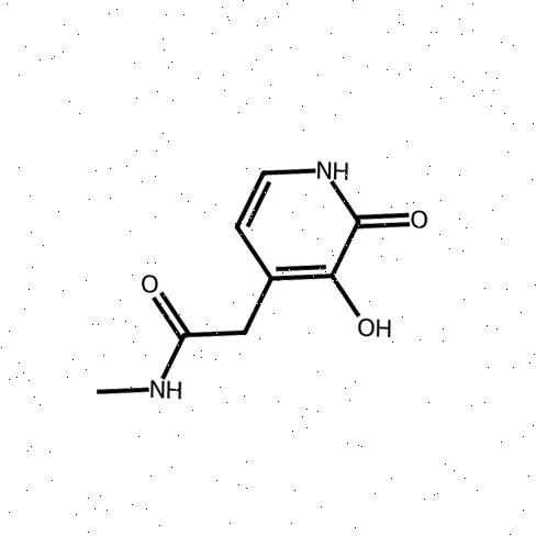 CNC(=O)Cc1cc[nH]c(=O)c1O